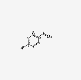 O=[C]c1ccc(F)cn1